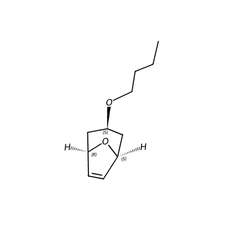 CCCCO[C@H]1C[C@H]2C=C[C@@H](C1)O2